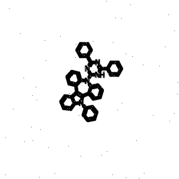 C1=CCCC(C2=NC(N3c4ccccc4C4=C(c5ccccc53)N(c3ccccc3)C3C=CC=CC43)NC(C3C=CC=CC3)=N2)=C1